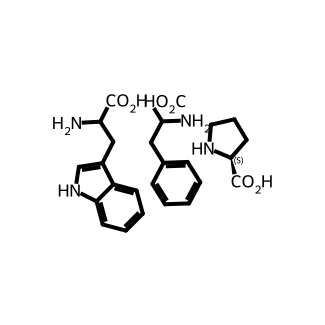 NC(Cc1c[nH]c2ccccc12)C(=O)O.NC(Cc1ccccc1)C(=O)O.O=C(O)[C@@H]1CCCN1